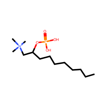 CCCCCCCCC(C[N+](C)(C)C)OP(=O)(O)O